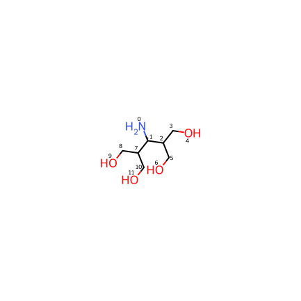 N[C](C(CO)CO)C(CO)CO